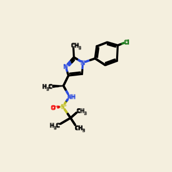 Cc1nc([C@H](C)N[S@+]([O-])C(C)(C)C)cn1-c1ccc(Cl)cc1